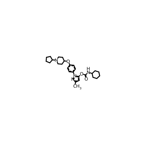 Cc1cc(OC(=O)NC2CCCCC2)n(-c2ccc(OC3CCN(C4CCCC4)CC3)cc2)n1